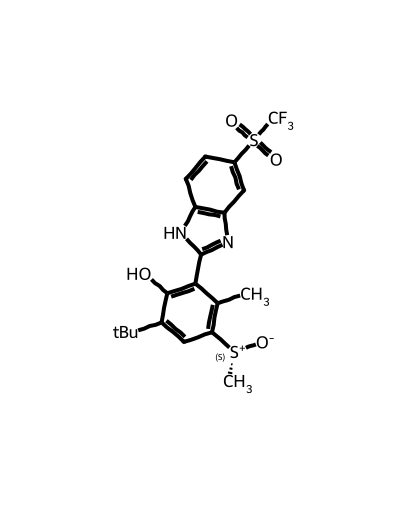 Cc1c([S@@+](C)[O-])cc(C(C)(C)C)c(O)c1-c1nc2cc(S(=O)(=O)C(F)(F)F)ccc2[nH]1